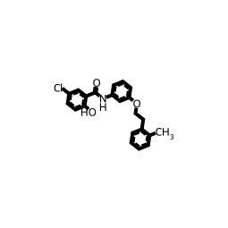 Cc1ccccc1CCOc1cccc(NC(=O)c2cc(Cl)ccc2O)c1